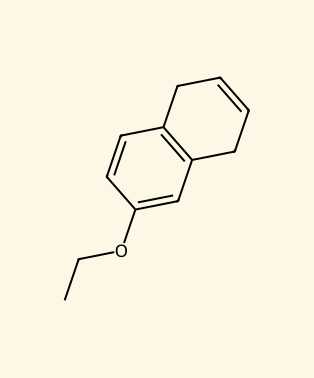 CCOc1ccc2c(c1)CC=CC2